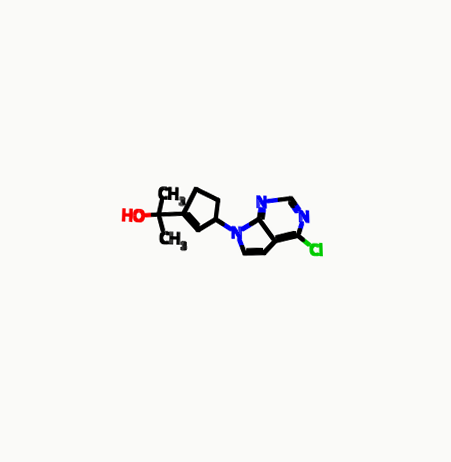 CC(C)(O)C1=CC(n2ccc3c(Cl)ncnc32)CC1